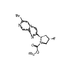 CC(C)(C)OC(=O)N1C[C@H](F)C[C@@H]1c1cn2cc(Br)ncc2n1